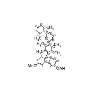 COc1ccc2c(c1)c1cc(OC)ccc1n2-c1c(C)c(C)c(-c2ncnc(-c3c(C)cccc3C)n2)c(C)c1C